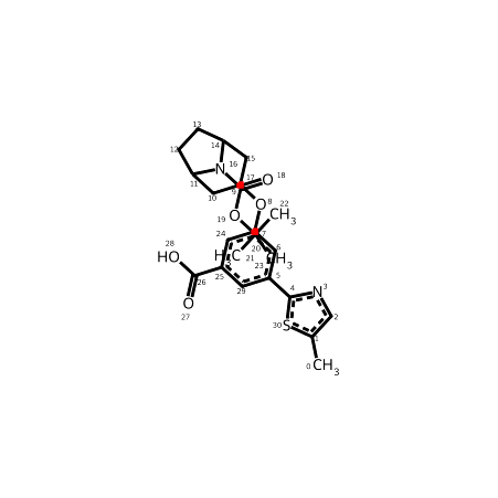 Cc1cnc(-c2cc(OC3CC4CCC(C3)N4C(=O)OC(C)(C)C)cc(C(=O)O)c2)s1